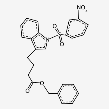 O=C(CCCc1cn(S(=O)(=O)c2cccc([N+](=O)[O-])c2)c2ccccc12)OCc1ccccc1